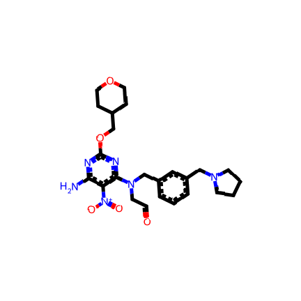 Nc1nc(OCC2CCOCC2)nc(N(CC=O)Cc2cccc(CN3CCCC3)c2)c1[N+](=O)[O-]